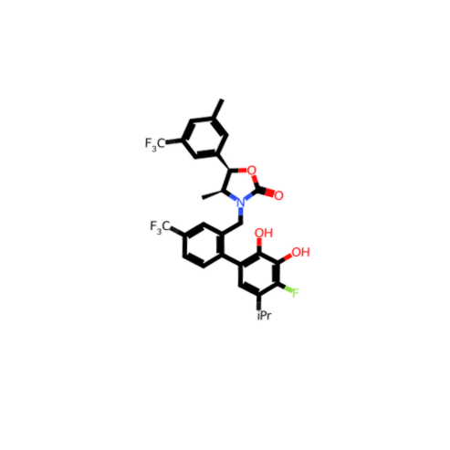 Cc1cc([C@H]2OC(=O)N(Cc3cc(C(F)(F)F)ccc3-c3cc(C(C)C)c(F)c(O)c3O)[C@H]2C)cc(C(F)(F)F)c1